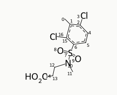 Cc1c(Cl)ccc(S(=O)(=O)N(C)CCC(=O)O)c1Cl